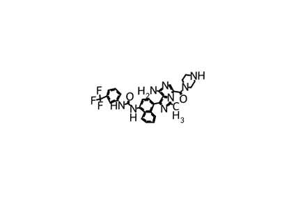 Cc1nc(-c2ccc(NC(=O)Nc3cccc(C(F)(F)F)c3)c3ccccc23)c2c(N)ncc(C(=O)N3CCNCC3)n12